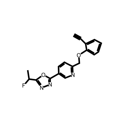 C#Cc1ccccc1OCc1ccc(-c2nnc(C(C)F)o2)cn1